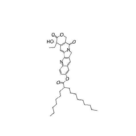 CCCCCCCCCC(CCCCCCC)C(=O)Oc1ccc2nc3c(cc2c1)Cn1c-3cc2c(c1=O)COC(=O)[C@]2(O)CC